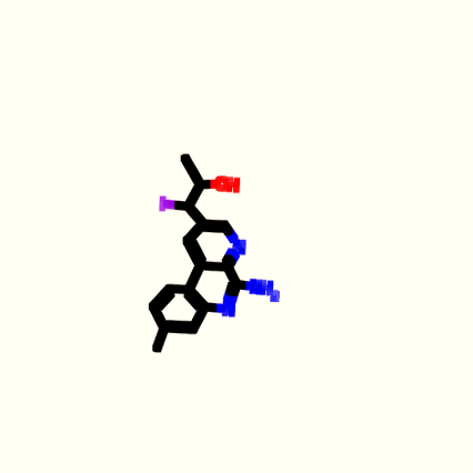 Cc1ccc2c(c1)nc(N)c1ncc(C(I)C(C)O)cc12